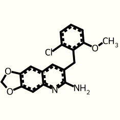 COc1cccc(Cl)c1Cc1cc2cc3c(cc2nc1N)OCO3